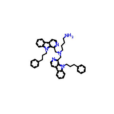 NCCCCN(Cc1nccc2c3ccccc3n(CCCc3ccccc3)c12)Cc1nccc2c3ccccc3n(CCCc3ccccc3)c12